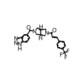 O=C(C=Cc1ccc(C(F)(F)F)cc1)N1C[C@@H]2CN(C(=O)c3ccc4[nH]nnc4c3)C[C@H]2C1